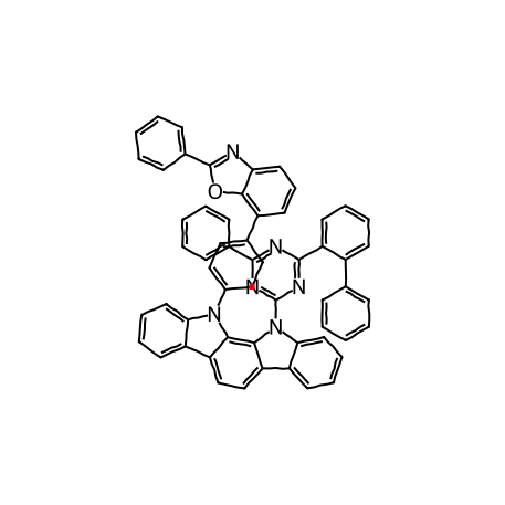 C1=C(c2cccc3nc(-c4ccccc4)oc23)CCC(n2c3ccccc3c3ccc4c5ccccc5n(-c5nc(-c6ccccc6)nc(-c6ccccc6-c6ccccc6)n5)c4c32)=C1